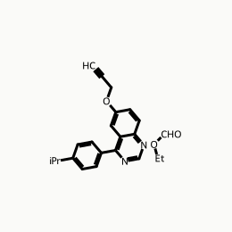 C#CCOc1ccc2ncnc(-c3ccc(C(C)C)cc3)c2c1.CCOC=O